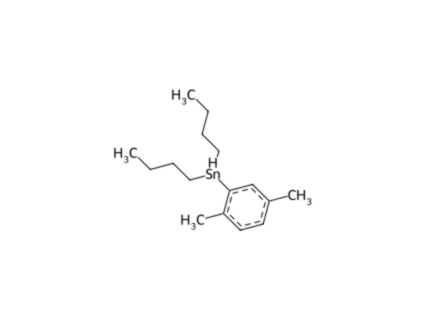 CCC[CH2][SnH]([CH2]CCC)[c]1cc(C)ccc1C